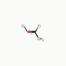 [CH2]/C(Cl)=I/Cl